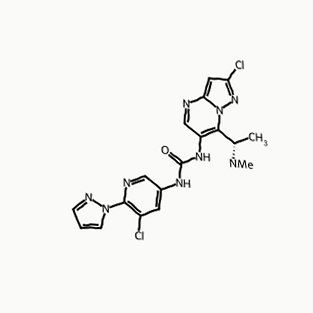 CN[C@@H](C)c1c(NC(=O)Nc2cnc(-n3cccn3)c(Cl)c2)cnc2cc(Cl)nn12